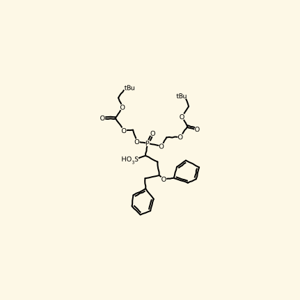 CC(C)(C)COC(=O)OCOP(=O)(OCOC(=O)OCC(C)(C)C)C(CC(Cc1ccccc1)Oc1ccccc1)S(=O)(=O)O